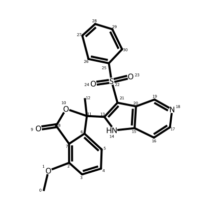 COc1cccc2c1C(=O)OC2(C)c1[nH]c2ccncc2c1S(=O)(=O)c1ccccc1